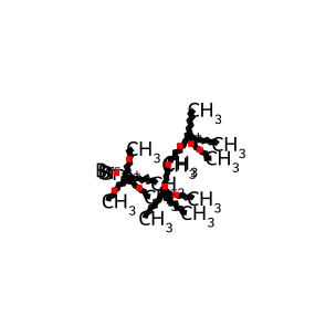 CCCCCCCC[P+](CCCCCCCC)(CCCCCCCC)CCCCCCCC.CCCCCCCC[P+](CCCCCCCC)(CCCCCCCC)CCCCCCCC.CCCCCCCC[P+](CCCCCCCC)(CCCCCCCC)CCCCCCCC.[Br-].[Br-].[Br-]